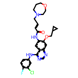 O=C(/C=C/CN1CCCOCC1)Nc1cc2c(Nc3ccc(F)c(Cl)c3)ncnc2cc1OCC1CC1